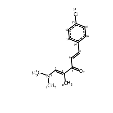 CC(=CN(C)C)C(=O)C=Cc1ccc(Cl)cc1